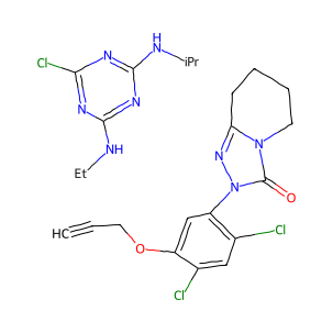 C#CCOc1cc(-n2nc3n(c2=O)CCCC3)c(Cl)cc1Cl.CCNc1nc(Cl)nc(NC(C)C)n1